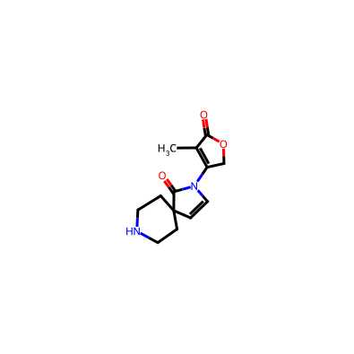 CC1=C(N2C=CC3(CCNCC3)C2=O)COC1=O